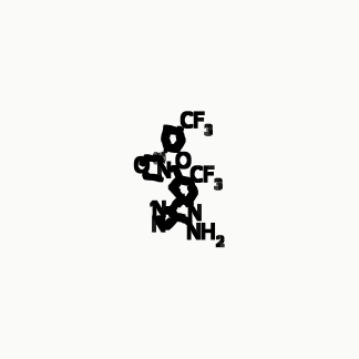 Cn1ncc2c(N)nc3cc(C(F)(F)F)c(C(=O)N4CCOC[C@@H]4c4ccc(C(F)(F)F)cc4)cc3c21